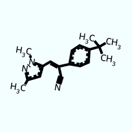 Cc1cc(C=C(C#N)c2ccc(C(C)(C)C)cc2)n(C)n1